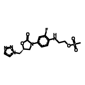 CS(=O)(=O)OCCNc1ccc(N2C[C@H](Cn3ccnn3)OC2=O)cc1F